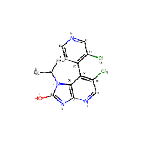 CCC(CC)n1c(O)nc2ncc(Cl)c(-c3ccncc3Cl)c21